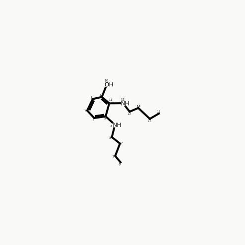 CCCCNc1cccc(O)c1NCCCC